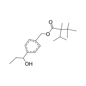 CCC(O)c1ccc(COC(=O)C(C)(C(C)C)C(C)(C)C)cc1